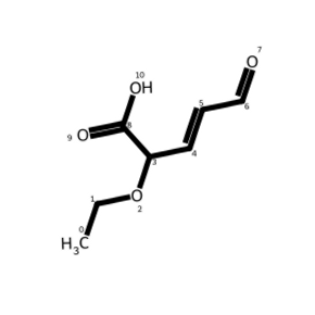 CCOC(C=CC=O)C(=O)O